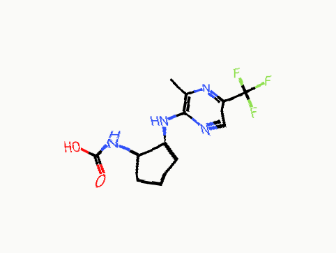 Cc1nc(C(F)(F)F)cnc1N[C@H]1CCCC1NC(=O)O